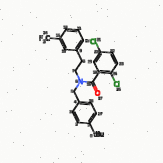 CC(C)(C)c1ccc(CN(CCc2cccc(C(F)(F)F)c2)C(=O)c2cc(Cl)ccc2Cl)cc1